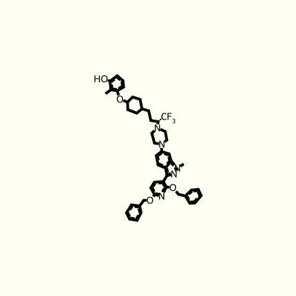 Cc1c(O)cccc1OC1CCC(CC[C@@H](N2CCN(c3ccc4c(-c5ccc(OCc6ccccc6)nc5OCc5ccccc5)nn(C)c4c3)CC2)C(F)(F)F)CC1